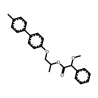 COC(C(=O)OC(C)COc1ccc(-c2ccc(C)cc2)cc1)c1ccccc1